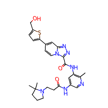 Cc1ncc(NC(=O)CCN2CCCC2(C)C)cc1NC(=O)c1nnc2cc(-c3ccc(CO)s3)ccn12